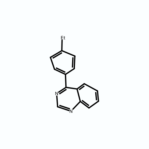 CCc1ccc(-c2ncnc3ccccc23)cc1